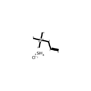 C=CC[N+](C)(C)C.[Cl-].[SiH4]